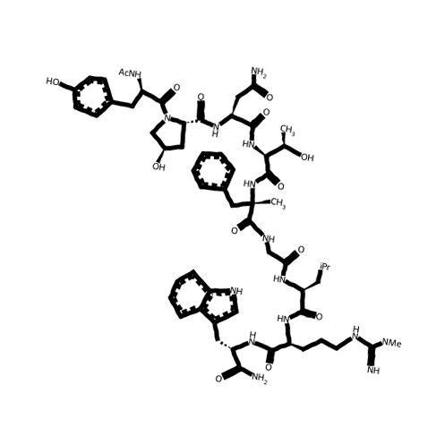 CNC(=N)NCCC[C@H](NC(=O)[C@H](CC(C)C)NC(=O)CNC(=O)[C@](C)(Cc1ccccc1)NC(=O)[C@@H](NC(=O)[C@H](CC(N)=O)NC(=O)[C@@H]1C[C@@H](O)CN1C(=O)[C@@H](Cc1ccc(O)cc1)NC(C)=O)[C@@H](C)O)C(=O)N[C@@H](Cc1c[nH]c2ccccc12)C(N)=O